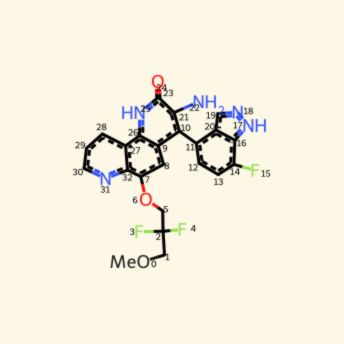 COCC(F)(F)COc1cc2c(-c3ccc(F)c4[nH]ncc34)c(N)c(=O)[nH]c2c2cccnc12